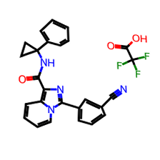 N#Cc1cccc(-c2nc(C(=O)NC3(c4ccccc4)CC3)c3ccccn23)c1.O=C(O)C(F)(F)F